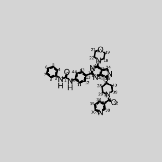 O=C(Nc1ccccc1)Nc1ccc(-c2nc(N3CCOCC3)c3cnn(C4CCN(C(=O)c5cccnc5)CC4)c3n2)cc1